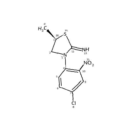 C[C@@H]1CN(c2ccc(Cl)cc2[N+](=O)[O-])C(=N)S1